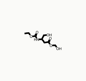 CCOC(=O)NC(CO)CC(=O)OCO